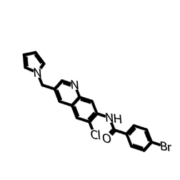 O=C(Nc1cc2ncc(Cn3cccc3)cc2cc1Cl)c1ccc(Br)cc1